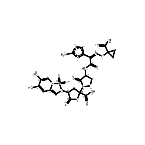 Nc1nc(/C(=N/OC2(C(=O)O)CC2)C(=O)N[C@H]2CON(C3(C(=O)O)CC(N4C=C5C=C(O)C(O)=CN5S4(=O)=O)C(=O)O3)C2=O)cs1